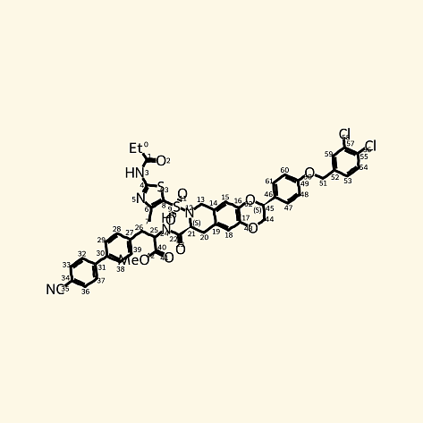 CCC(=O)Nc1nc(C)c(S(=O)(=O)N2Cc3cc4c(cc3C[C@H]2C(=O)NC(Cc2ccc(-c3ccc(C#N)cc3)cc2)C(=O)OC)OC[C@H](c2ccc(OCc3ccc(Cl)c(Cl)c3)cc2)O4)s1